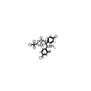 C[C@](NS(=O)(=O)OCC(Cl)(Cl)Cl)(c1ccc(Cl)cc1)[C@H](N)c1ccc(Cl)cc1F